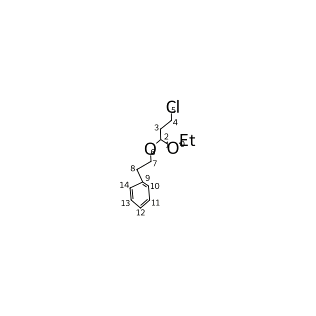 CCOC(CCCl)OCCc1ccccc1